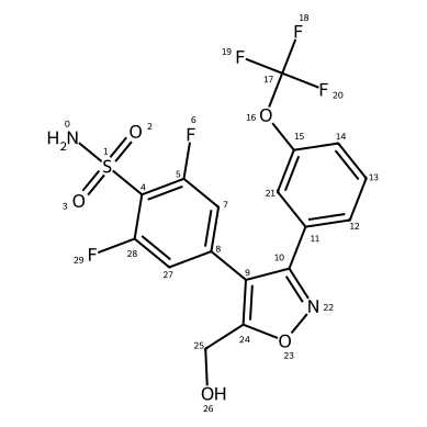 NS(=O)(=O)c1c(F)cc(-c2c(-c3cccc(OC(F)(F)F)c3)noc2CO)cc1F